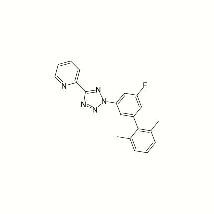 Cc1cccc(C)c1-c1cc(F)cc(-n2nnc(-c3ccccn3)n2)c1